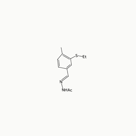 CCSc1cc(/C=N/NC(C)=O)ccc1C